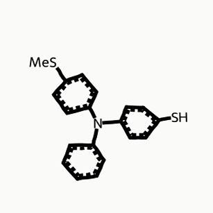 CSc1ccc(N(c2ccccc2)c2ccc(S)cc2)cc1